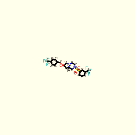 O=S(=O)(c1cccc(C(F)(F)F)c1)N1CCN2C[C@@H](OCc3ccc(C(F)(F)F)cc3)C[C@H]2C1